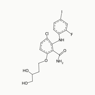 NC(=O)c1c(OCCC(O)CO)ccc(Cl)c1Nc1ccc(I)cc1F